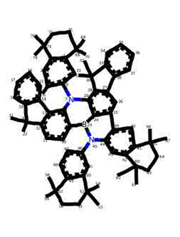 Cc1cc2c(cc1N1c3c(ccc4c3-c3ccccc3C4(C)C)B3c4c(cc5c(c41)C(C)(C)c1ccccc1-5)-c1cc4c(cc1N3c1ccc3c(c1)C(C)(C)CCC3(C)C)C(C)(C)CCC4(C)C)C(C)(C)CCC2(C)C